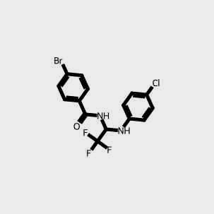 O=C(NC(Nc1ccc(Cl)cc1)C(F)(F)F)c1ccc(Br)cc1